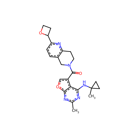 Cc1nc(NC2(C)CC2)c2c(C(=O)N3CCc4nc(C5CCO5)ccc4C3)coc2n1